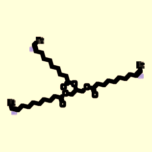 CC/C=C\CCCCCCCC(=O)OCC(COC(=O)CCCCCCC/C=C\CC)OC(=O)CCCCCCC/C=C\CC